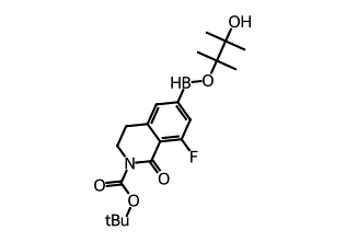 CC(C)(C)OC(=O)N1CCc2cc(BOC(C)(C)C(C)(C)O)cc(F)c2C1=O